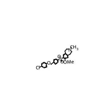 COc1cc2c(cc1S(=O)(=O)c1ccc(COc3ccc(Cl)cc3)cc1)CCN(C)CC2